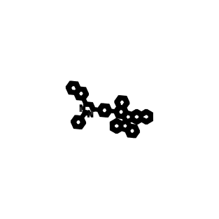 c1ccc(-c2nc(-c3ccc(-c4cc5c(c6ccccc46)-c4cc6ccccc6cc4C54c5ccccc5-c5ccccc54)cc3)cc(-c3ccc4ccccc4c3)n2)cc1